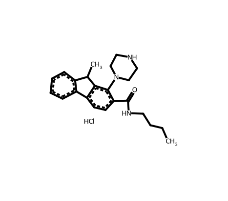 CCCCNC(=O)c1ccc2c(c1N1CCNCC1)C(C)c1ccccc1-2.Cl